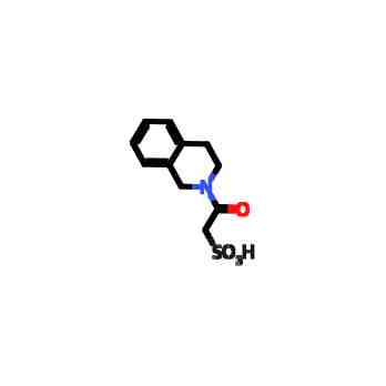 O=C(CS(=O)(=O)O)N1CCc2ccccc2C1